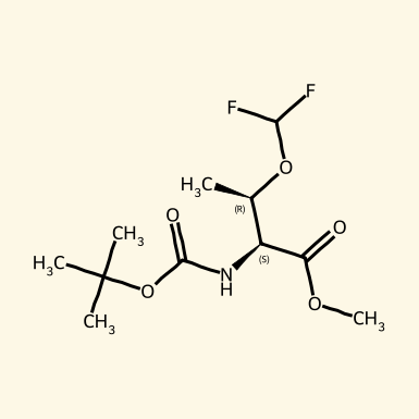 COC(=O)[C@@H](NC(=O)OC(C)(C)C)[C@@H](C)OC(F)F